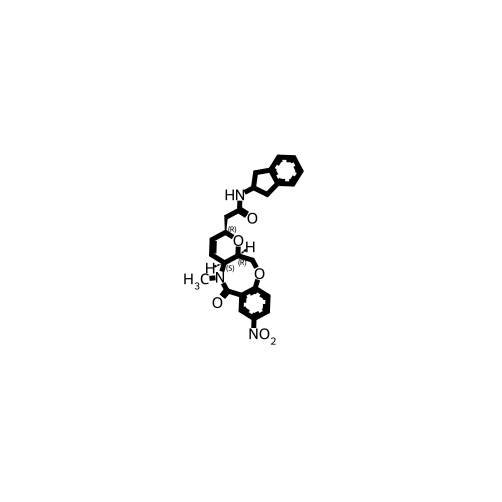 CN1C(=O)c2cc([N+](=O)[O-])ccc2OC[C@@H]2O[C@H](CC(=O)NC3Cc4ccccc4C3)C=C[C@@H]21